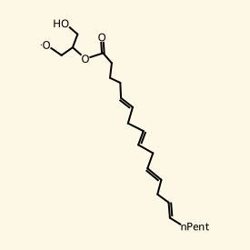 CCCCCC=CCC=CCC=CCC=CCCCC(=O)OC(C[O])CO